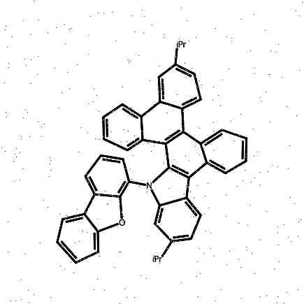 CC(C)c1ccc2c(c1)c1ccccc1c1c2c2ccccc2c2c3ccc(C(C)C)cc3n(-c3cccc4c3oc3ccccc34)c21